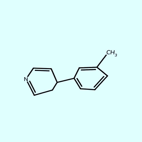 Cc1cccc(C2C=CN=CC2)c1